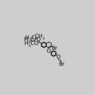 CC1(C)OC(c2ccc3c(c2)CCC(Br)=C3Oc2ccc(OCCBr)cc2)OC1(C)C